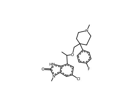 CC(OCC1(c2ccc(F)cc2)CCN(C)CC1)c1cc(Cl)cc2c1[nH]c(=O)n2C